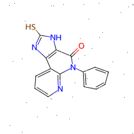 O=c1c2[nH]c(S)nc2c2cccnc2n1-c1ccccc1